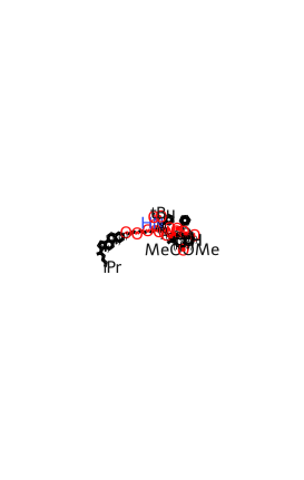 CO[C@H]1C(=O)[C@]2(C)[C@@H](OC)C[C@H]3OC[C@@]3(OC(C)=O)[C@H]2[C@H](OC(=O)c2ccccc2)[C@]2(O)C[C@H](OC(=O)[C@H](OC(=O)COCCOCCO[C@H]3CC[C@@]4(C)C(=CCC5C6CCC(C(C)CCCC(C)C)[C@@]6(C)CCC54)C3)[C@@H](NC(=O)OC(C)(C)C)c3ccccc3)C(C)=C1C2(C)C